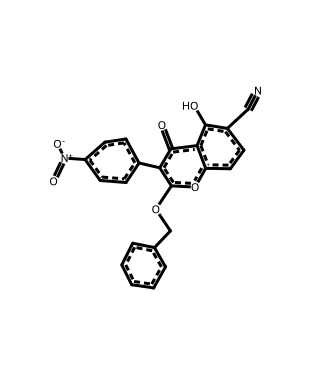 N#Cc1ccc2oc(OCc3ccccc3)c(-c3ccc([N+](=O)[O-])cc3)c(=O)c2c1O